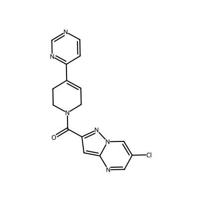 O=C(c1cc2ncc(Cl)cn2n1)N1CC=C(c2ccncn2)CC1